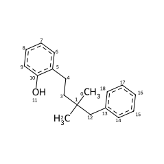 CC(C)(CCc1ccccc1O)Cc1ccccc1